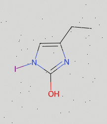 CCc1cn(I)c(O)n1